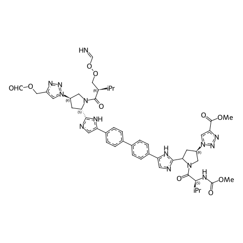 COC(=O)N[C@H](C(=O)N1C[C@H](n2cc(C(=O)OC)nn2)CC1c1ncc(-c2ccc(-c3ccc(-c4cnc([C@@H]5C[C@@H](n6cc(COC=O)nn6)CN5C(=O)[C@@H](COOC=N)C(C)C)[nH]4)cc3)cc2)[nH]1)C(C)C